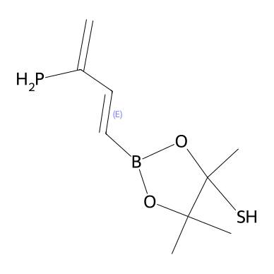 C=C(P)/C=C/B1OC(C)(C)C(C)(S)O1